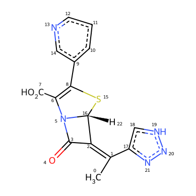 C/C(=C1\C(=O)N2C(C(=O)O)=C(c3cccnc3)S[C@H]12)c1c[nH]nn1